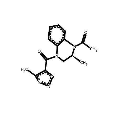 CC(=O)N1c2ccccc2N(C(=O)c2snnc2C)C[C@@H]1C